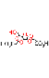 O=C(O)CC1OC2OC3C(CO)OC(CC(=O)O)OC3C2O1